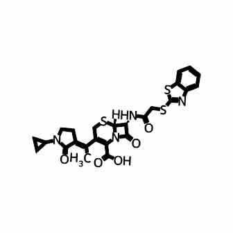 CC(=C1CCN(C2CC2)C1=O)C1=C(C(=O)O)N2C(=O)[C@@H](NC(=O)CSc3nc4ccccc4s3)[C@H]2SC1